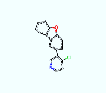 Clc1ccncc1-c1ccc2oc3ccccc3c2c1